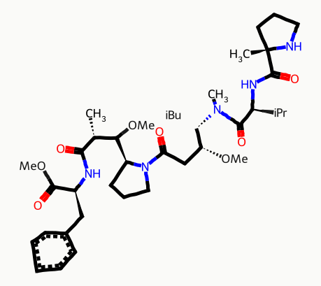 CC[C@H](C)[C@@H]([C@@H](CC(=O)N1CCC[C@H]1C(OC)[C@@H](C)C(=O)N[C@@H](Cc1ccccc1)C(=O)OC)OC)N(C)C(=O)[C@@H](NC(=O)[C@]1(C)CCCN1)C(C)C